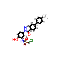 O=C(Nc1ccc(O)c(NS(=O)(=O)CCl)c1)c1ccc(-c2ccc(C(F)(F)F)cc2)cc1